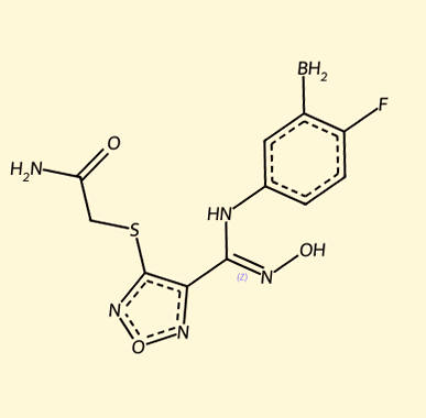 Bc1cc(N/C(=N\O)c2nonc2SCC(N)=O)ccc1F